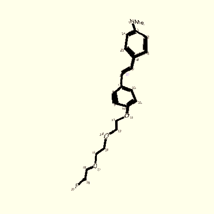 CNc1ccc(/C=C/c2c#cc(OCCOCCOCCF)cc2)cc1